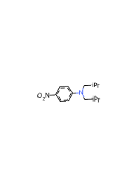 CC(C)CN(CC(C)C)c1ccc([N+](=O)[O-])cc1